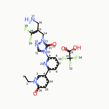 CCn1cc(-c2cccc(-n3cnn(CC(CN)=C(F)F)c3=O)n2)ccc1=O.O=C(O)C(F)(F)F